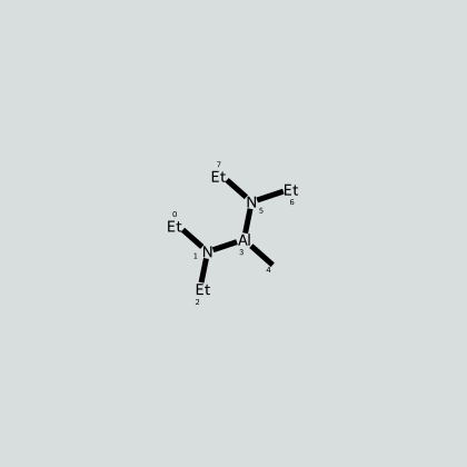 CC[N](CC)[Al]([CH3])[N](CC)CC